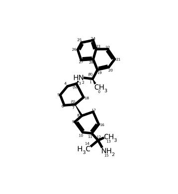 C[C@@H](N[C@H]1CCC[C@H](C2C=CC(C(C)(C)N)=CC2)C1)c1cccc2ccccc12